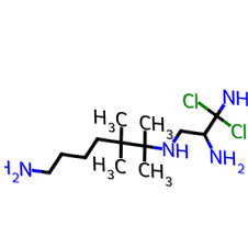 CC(C)(CCCCN)C(C)(C)NCC(N)C(N)(Cl)Cl